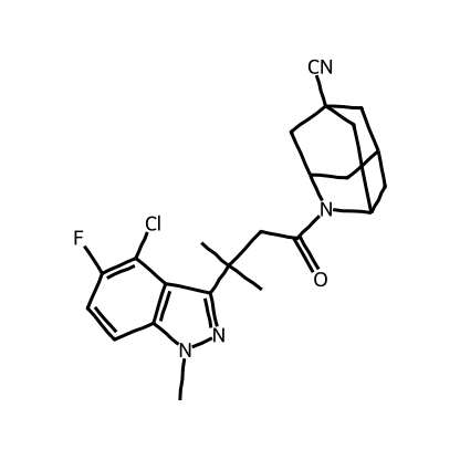 Cn1nc(C(C)(C)CC(=O)N2C3CC4CC2CC(C#N)(C4)C3)c2c(Cl)c(F)ccc21